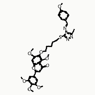 COc1ccc(C=Nn2c(C)nnc2SCCCCCOc2c(OC)cc3oc(-c4cc(OC)c(OC)c(OC)c4)cc(=O)c3c2OC)cc1